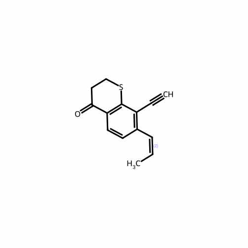 C#Cc1c(/C=C\C)ccc2c1SCCC2=O